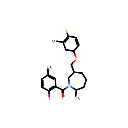 CC1=C(F)C=CC(OCC2CCCC(C)N(C(=O)c3cc(C)ccc3I)C2)C1